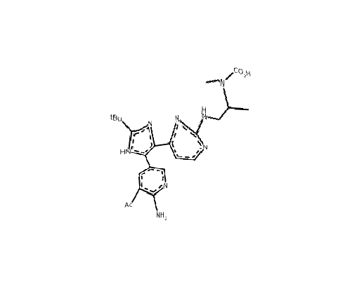 CC(=O)c1cc(-c2[nH]c(C(C)(C)C)nc2-c2ccnc(NCC(C)N(C)C(=O)O)n2)cnc1N